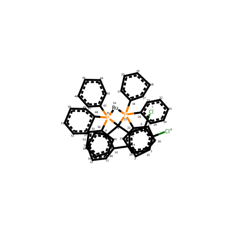 Clc1ccc2c(c1Cl)C1(c3ccccc3-2)[P](c2ccccc2)(c2ccccc2)(c2ccccc2)[Ru][P]1(c1ccccc1)(c1ccccc1)c1ccccc1